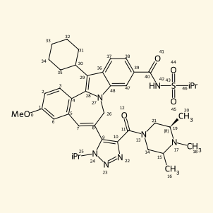 COc1ccc2c(c1)C=C(c1c(C(=O)N3CC(C)N(C)[C@H](C)C3)nnn1C(C)C)Cn1c-2c(C2CCCCC2)c2ccc(C(=O)NS(=O)(=O)C(C)C)cc21